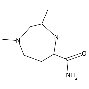 CC1CN(C)CCC(C(N)=O)[N]1